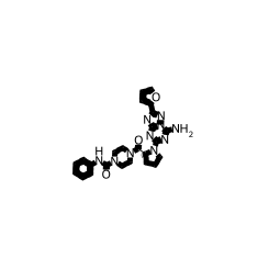 Nc1nc(N2CCC[C@@H]2C(=O)N2CCN(C(=O)Nc3ccccc3)CC2)nc2nc(-c3ccco3)nn12